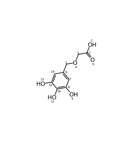 O=C(O)COCc1cc(O)c(O)c(O)c1